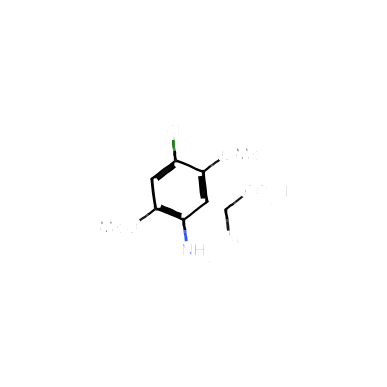 CC(=O)CC(=O)O.COc1cc(Cl)c(OC)cc1N